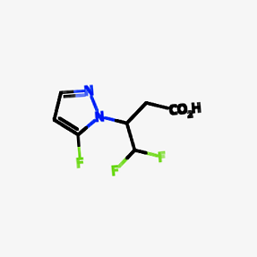 O=C(O)CC(C(F)F)n1nccc1F